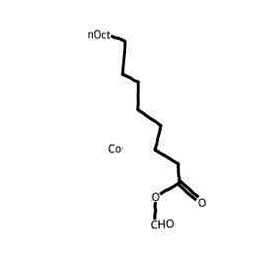 CCCCCCCCCCCCCCCC(=O)OC=O.[Co]